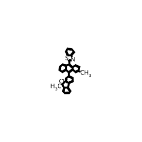 Cc1ccc2c(-c3nc4ccccc4s3)c3ccccc3c(-c3ccc4c(c3)C(C)(C)c3ccccc3-4)c2c1